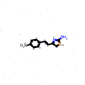 Nc1nc(/C=C/c2ccc([N+](=O)[O-])cc2)cs1